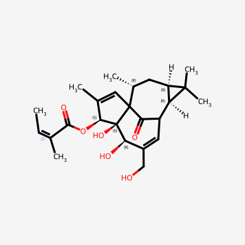 C/C=C(/C)C(=O)O[C@H]1C(C)=CC23C(=O)C(C=C(CO)[C@@H](O)[C@]12O)[C@H]1[C@@H](C[C@H]3C)C1(C)C